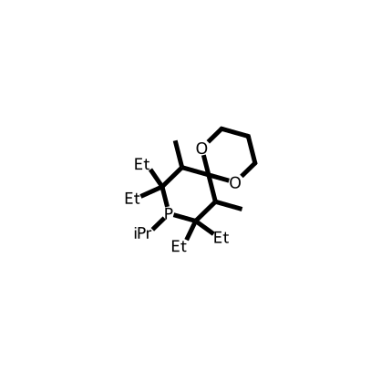 CCC1(CC)C(C)C2(OCCCO2)C(C)C(CC)(CC)P1C(C)C